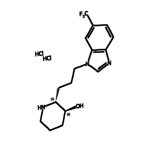 Cl.Cl.O[C@H]1CCCN[C@@H]1CCCn1cnc2ccc(C(F)(F)F)cc21